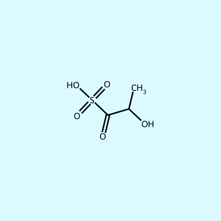 CC(O)C(=O)S(=O)(=O)O